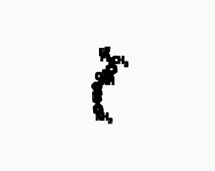 CN(CCC(F)(F)F)[C@H]1CCc2nc(NC(=O)c3cccc(Cn4cc(-c5ccc(N)cc5)cn4)c3)sc2C1